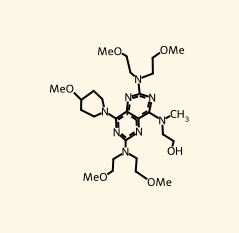 COCCN(CCOC)c1nc(N2CCC(OC)CC2)c2nc(N(CCOC)CCOC)nc(N(C)CCO)c2n1